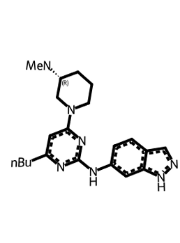 CCCCc1cc(N2CCC[C@@H](NC)C2)nc(Nc2ccc3cn[nH]c3c2)n1